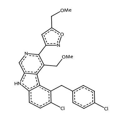 COCc1cc(-c2ncc3[nH]c4ccc(Cl)c(Cc5ccc(Cl)cc5)c4c3c2COC)no1